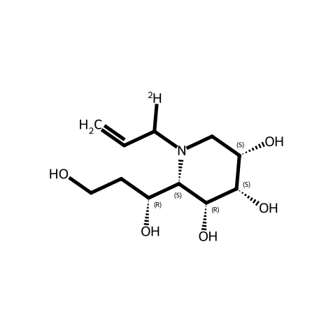 [2H]C(C=C)N1C[C@H](O)[C@H](O)[C@H](O)[C@@H]1[C@H](O)CCO